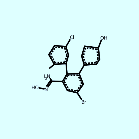 Cc1ccc(Cl)cc1-c1c(/C(N)=N/O)cc(Br)cc1-c1ccc(O)cc1